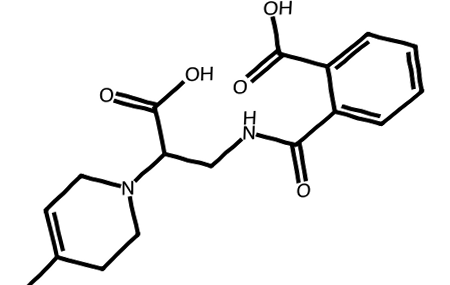 CC1=CCN(C(CNC(=O)c2ccccc2C(=O)O)C(=O)O)CC1